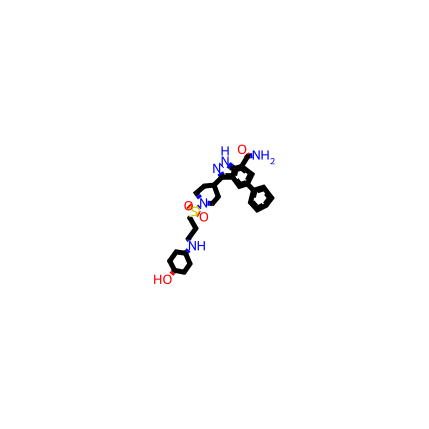 NC(=O)c1cc(-c2ccccc2)cc2c(C3CCN(S(=O)(=O)CCCNC4CCC(O)CC4)CC3)n[nH]c12